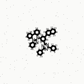 c1ccc(-c2nc(-c3ccccc3)nc(-c3cc(-c4ccc5ccccc5c4)cc(N4c5ccccc5-c5ccccc5-n5c4nc4ccccc45)c3)n2)cc1